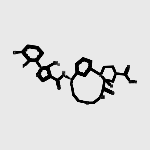 COC(=O)N1CCN2c3cccc(c3)[C@@H](NC(=O)c3cnn(-c4cccc(Cl)c4F)c3C)CCCCCNC(=O)[C@H]2C1